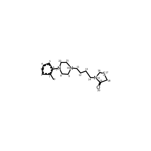 Cc1ccccc1N1CCN(CCCCN2CSCC2=O)CC1